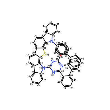 c1ccc(-c2ccc(-n3c4ccccc4c4ccc5c6ccc7c8ccccc8n(-c8nc(-c9ccccc9)nc(-c9ccccc9-c9ccccc9)n8)c7c6sc5c43)cc2)cc1